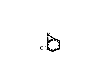 [Cl-].c1ccc2c(c1)[I+]2